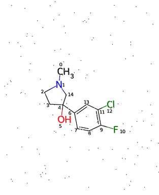 CN1CCC(O)(c2ccc(F)c(Cl)c2)C1